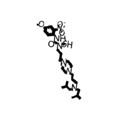 COc1ccc(NC(=O)N(S)CCCN2CCN(CCCN(CC(C)C)CC(C)C)CC2)c([N+](=O)[O-])c1